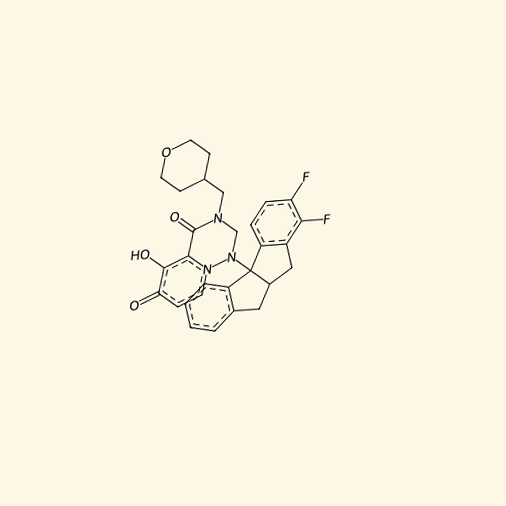 O=C1c2c(O)c(=O)ccn2N(C23c4ccccc4CC2Cc2c3ccc(F)c2F)CN1CC1CCOCC1